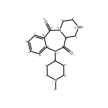 CN1CCC(N2C(=O)C3CNCCN3C(=O)c3ccccc32)CC1